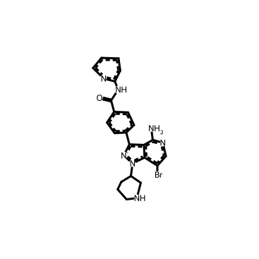 Nc1ncc(Br)c2c1c(-c1ccc(C(=O)Nc3ccccn3)cc1)nn2C1CCCNC1